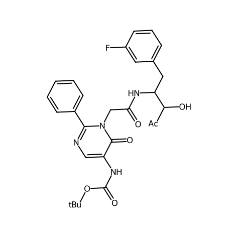 CC(=O)C(O)C(Cc1cccc(F)c1)NC(=O)Cn1c(-c2ccccc2)ncc(NC(=O)OC(C)(C)C)c1=O